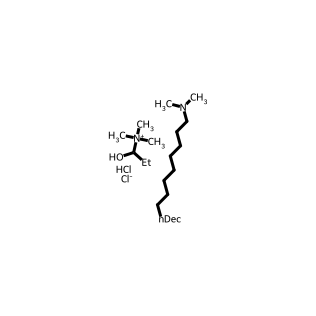 CCC(O)[N+](C)(C)C.CCCCCCCCCCCCCCCCCCN(C)C.Cl.[Cl-]